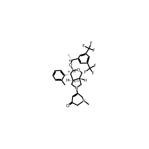 Cc1ccccc1[C@@H]1[C@@H](O[C@H](C)c2cc(C(F)(F)F)cc(C(F)(F)F)c2)OC[C@@H]2CN(C3=CC(=O)CN(C)C3)C[C@H]21